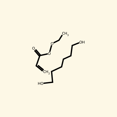 C=CC(=O)OOCC.OCCCCCCO